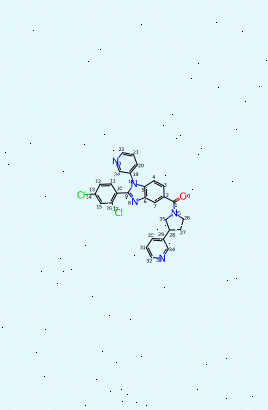 O=C(c1ccc2c(c1)nc(-c1ccc(Cl)cc1Cl)n2-c1cccnc1)N1CCC(c2cccnc2)C1